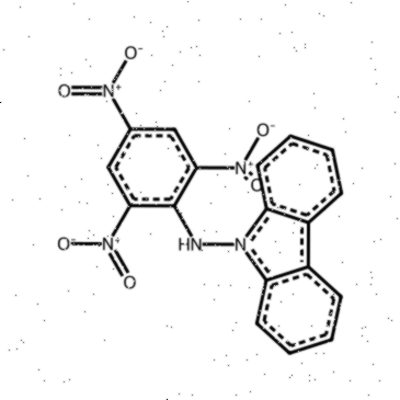 O=[N+]([O-])c1cc([N+](=O)[O-])c(Nn2c3ccccc3c3ccccc32)c([N+](=O)[O-])c1